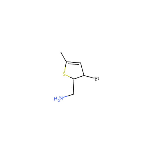 CCC1C=C(C)SC1CN